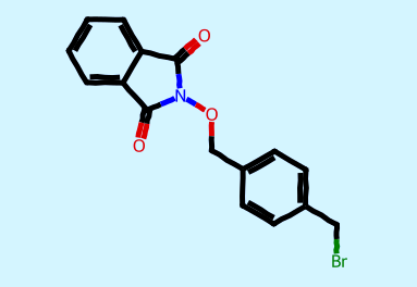 O=C1c2ccccc2C(=O)N1OCc1ccc(CBr)cc1